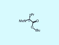 CCC[C@H](NC)C(=O)OC(C)(C)C